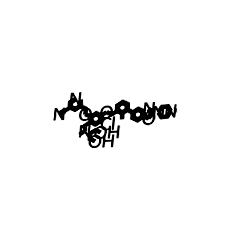 Cc1c(COc2cc(OCc3cncc(C#N)c3)c(CN(C)C(CO)CO)cc2Cl)cccc1-c1ccc2oc(N3CCN(C)CC3)nc2c1